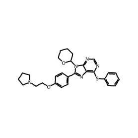 c1ccc(Sc2ncnc3c2nc(-c2ccc(OCCN4CCCC4)cc2)n3C2CCCCO2)cc1